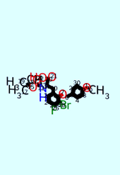 COc1ccc(COc2c(CC(NC(=O)OC(C)(C)C)C(=O)O)ccc(F)c2Br)cc1